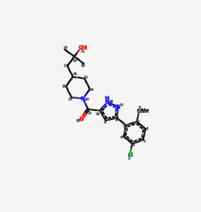 COc1ccc(Cl)cc1-c1cc(C(=O)N2CCC(CC(C)(C)O)CC2)[nH]n1